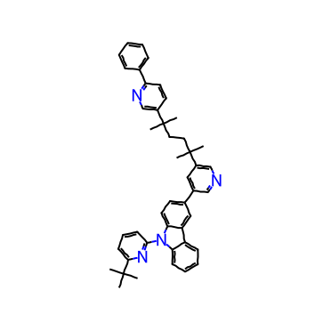 CC(C)(C)c1cccc(-n2c3ccccc3c3cc(-c4cncc(C(C)(C)CCC(C)(C)c5ccc(-c6ccccc6)nc5)c4)ccc32)n1